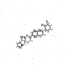 NC1c2ccnn2CC12CCN(c1cnc3nc(-c4cccc(F)c4F)ccc3n1)CC2